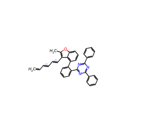 C=C/C=C/C=C/c1c(C)oc2cccc(-c3ccccc3-c3nc(-c4ccccc4)nc(-c4ccccc4)n3)c12